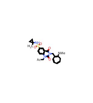 CNC1=C(Cn2c(=O)c3cc(S(=O)(=O)NC4(C)CC4)ccc3n(CC(C)=O)c2=O)C=CC=CC1